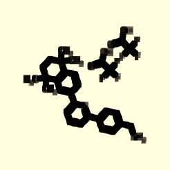 CC1(C)CCC(C)(C)c2cc(-c3cccc(-c4ccc(CN)cc4)n3)ccc21.O=C(O)C(F)(F)F.O=C(O)C(F)(F)F